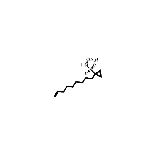 C=CCCCCCCCC1(S(=O)(=O)NC(=O)O)CC1